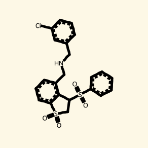 O=S1(=O)CC(S(=O)(=O)c2ccccc2)c2c(CNCc3cccc(Cl)c3)cccc21